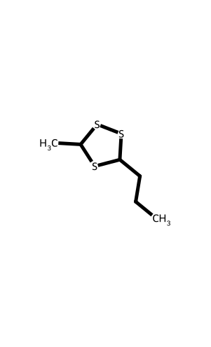 CCCC1SSC(C)S1